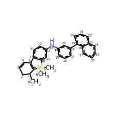 CC1CC=CC2=C1S(C)(C)c1cc(Nc3cccc(-c4cccc5ccccc45)c3)ccc12